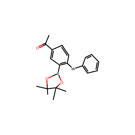 CC(=O)c1cc[c]([W][c]2ccccc2)c(B2OC(C)(C)C(C)(C)O2)c1